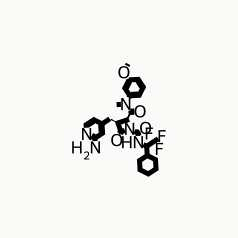 COc1cccc(N(C)C(=O)[C@@H]2[C@@H](Cc3ccnc(N)c3)C(=O)N2C(=O)NC(C2CCCCC2)C(F)(F)F)c1